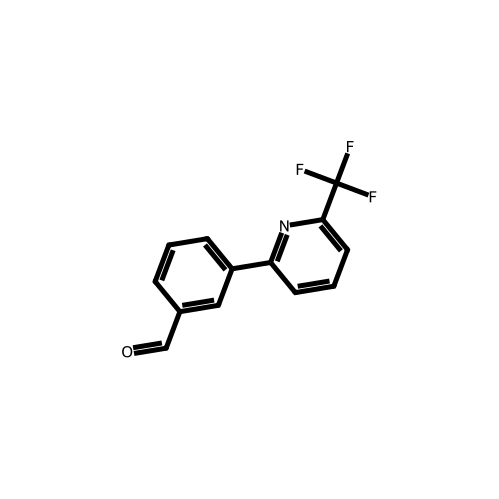 O=Cc1cccc(-c2cccc(C(F)(F)F)n2)c1